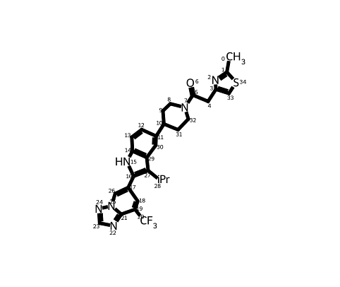 Cc1nc(CC(=O)N2CCC(c3ccc4[nH]c(-c5cc(C(F)(F)F)c6ncnn6c5)c(C(C)C)c4c3)CC2)cs1